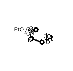 CCOC(=O)C[S@@](=O)(=NC(=O)c1cncc(C#Cc2cccc(NC(=O)c3occc3C)c2)c1)c1ccccc1